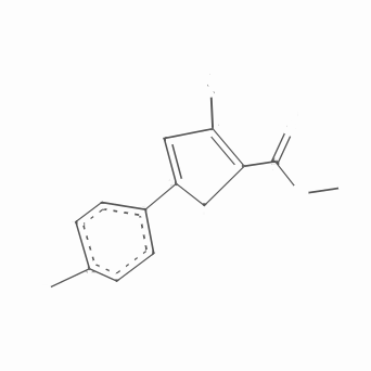 COC(=O)C1=C(N)C=C(c2ccc(F)cc2)C1